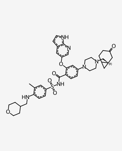 Cc1cc(S(=O)(=O)NC(=O)c2ccc(N3CCN(C[C@]45CC(=O)CCC4C5)CC3)cc2Oc2cnc3[nH]ccc3c2)ccc1NCC1CCOCC1